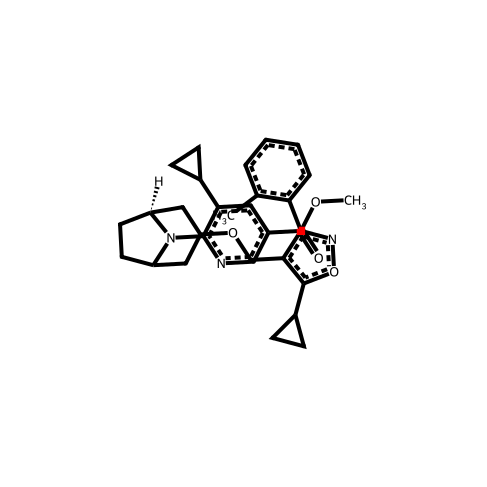 COC(=O)c1cnc(N2C3CC[C@H]2CC(OCc2c(-c4ccccc4C)noc2C2CC2)C3)c(C2CC2)c1